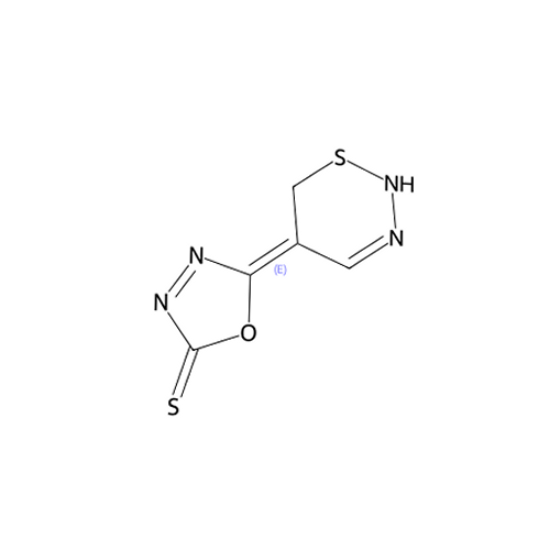 S=C1N=N/C(=C2/C=NNSC2)O1